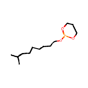 CC(C)CCCCCCCOP1OCCCO1